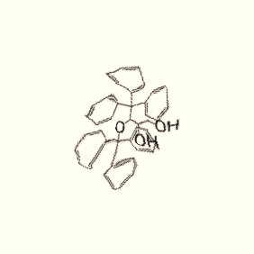 OCC(O)C(OC(c1ccccc1)(c1ccccc1)c1ccccc1)C(c1ccccc1)(c1ccccc1)c1ccccc1